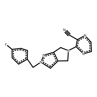 N#Cc1nccnc1N1Cc2cn(Cc3ccc(F)cc3)nc2C1